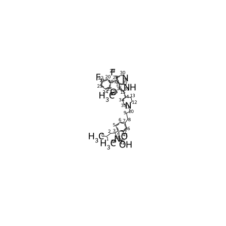 CCCC(c1ccc(CCCN2CCC(c3cc4c(-c5cc(F)ccc5OC)c(F)cnc4[nH]3)CC2)cc1)N(C)C(=O)O